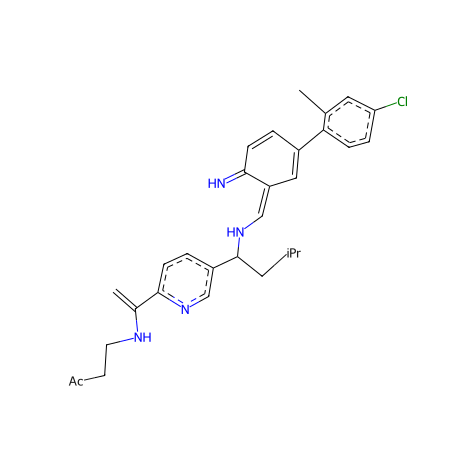 C=C(NCCC(C)=O)c1ccc(C(CC(C)C)N/C=C2/C=C(c3ccc(Cl)cc3C)C=CC2=N)cn1